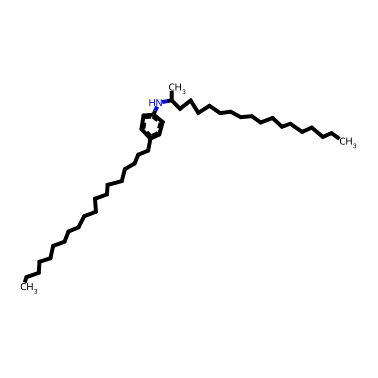 CCCCCCCCCCCCCCCCCCCc1ccc(NC(C)CCCCCCCCCCCCCCCCC)cc1